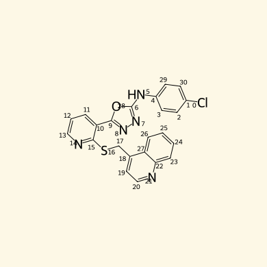 Clc1ccc(Nc2nnc(-c3cccnc3SCc3ccnc4ccccc34)o2)cc1